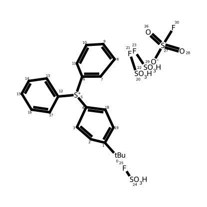 CC(C)(C)c1ccc([S+](c2ccccc2)c2ccccc2)cc1.O=S(=O)(O)F.O=S(=O)(O)F.O=S(=O)(O)F.O=S(=O)([O-])F